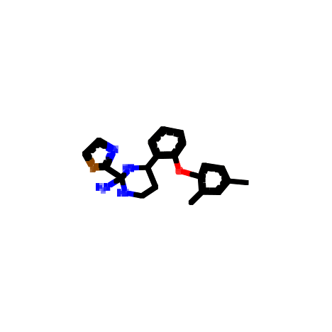 Cc1ccc(Oc2ccccc2C2CCNC(N)(c3nccs3)N2)c(C)c1